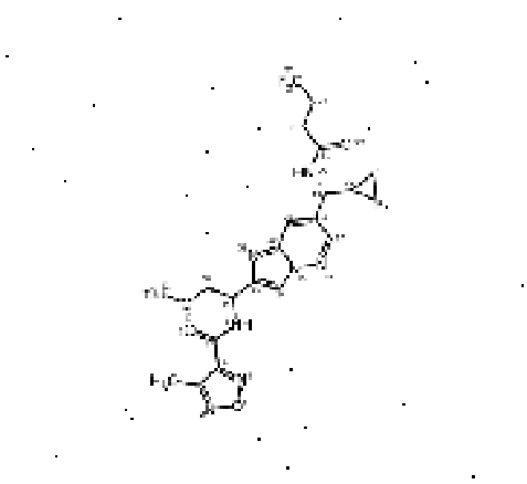 Cc1nonc1C(=O)N[C@@H](COC(C)(C)C)c1cn2ncc([C@H](NC(=O)CCC(F)(F)F)C3CC3)cc2n1